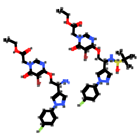 CCOC(=O)Cn1cnc(OC[C@H](N)c2cnn(-c3ccc(F)cc3)c2)c(Br)c1=O.CCOC(=O)Cn1cnc(OC[C@H](N[S+]([O-])C(C)(C)C)c2cnn(-c3ccc(F)cc3)c2)c(Br)c1=O